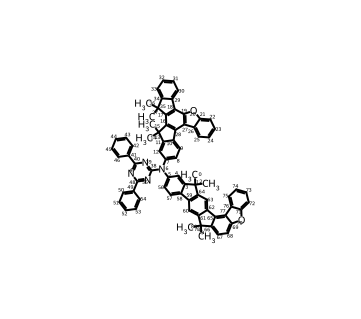 CC1(C)c2cc(N(c3ccc4c(c3)C(C)(C)c3c5c(c6oc7ccccc7c6c3-4)-c3ccccc3C5(C)C)c3nc(-c4ccccc4)nc(-c4ccccc4)n3)ccc2-c2cc3c(cc21)-c1c(ccc2oc4ccccc4c12)C3(C)C